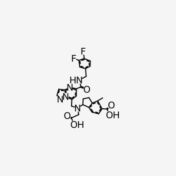 Cc1c(C(=O)O)ccc2c1CCC2N(CC(=O)O)Cc1cc(C(=O)NCc2ccc(F)c(F)c2)nc2ccnn12